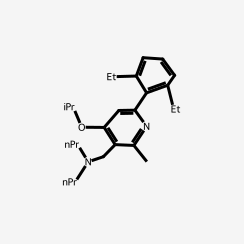 CCCN(CCC)Cc1c(OC(C)C)cc(-c2c(CC)cccc2CC)nc1C